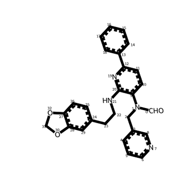 O=CN(Cc1cccnc1)c1ccc(-c2ccccc2)nc1NCCc1ccc2c(c1)OCO2